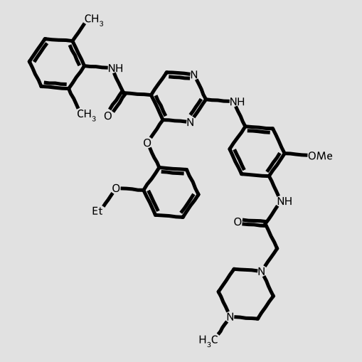 CCOc1ccccc1Oc1nc(Nc2ccc(NC(=O)CN3CCN(C)CC3)c(OC)c2)ncc1C(=O)Nc1c(C)cccc1C